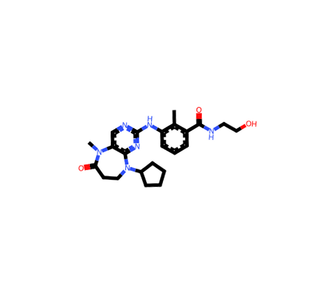 Cc1c(Nc2ncc3c(n2)N(C2CCCC2)CCC(=O)N3C)cccc1C(=O)NCCO